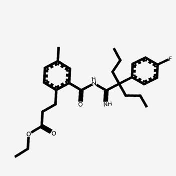 CCCC(CCC)(C(=N)NC(=O)c1cc(C)ccc1CCC(=O)OCC)c1ccc(F)cc1